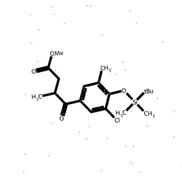 COC(=O)CC(C)C(=O)c1cc(C)c(O[Si](C)(C)C(C)(C)C)c(Cl)c1